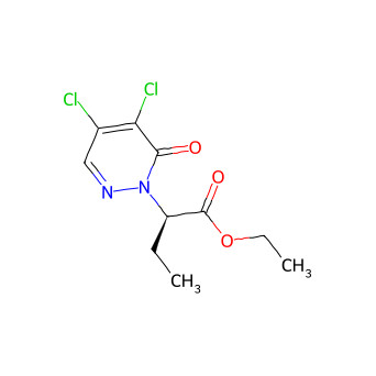 CCOC(=O)[C@@H](CC)n1ncc(Cl)c(Cl)c1=O